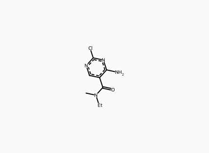 CCN(C)C(=O)c1cnc(Cl)nc1N